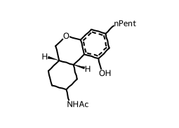 CCCCCc1cc(O)c2c(c1)OC[C@H]1CCC(NC(C)=O)C[C@@H]21